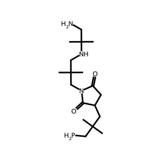 CC(C)(CP)CC1CC(=O)N(CC(C)(C)CNC(C)(C)CN)C1=O